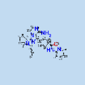 CC#CCN1CC2CCC1(c1nc(-c3ccc(C(=O)Nc4ccccn4)cc3)c3c(N)nccn13)C2